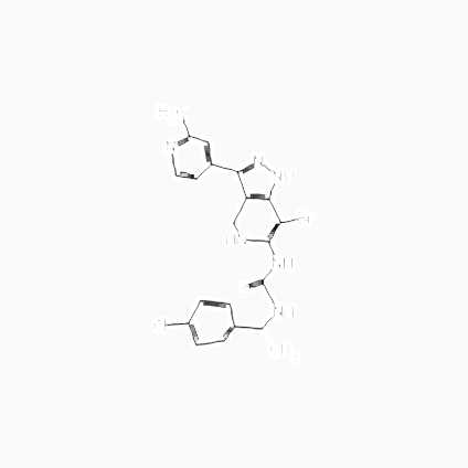 Cc1cc(-c2n[nH]c3c2CNC(NC(=O)N[C@H](C)c2ccc(Cl)cc2)=C3Br)ccn1